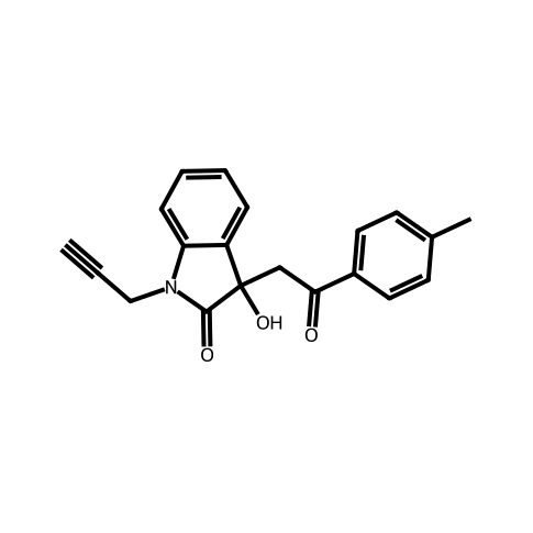 C#CCN1C(=O)C(O)(CC(=O)c2ccc(C)cc2)c2ccccc21